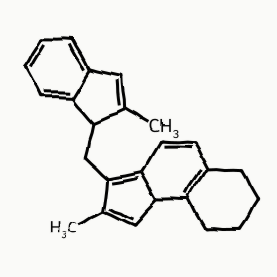 CC1=CC2C(=C1CC1C(C)=Cc3ccccc31)C=CC1=C2CCCC1